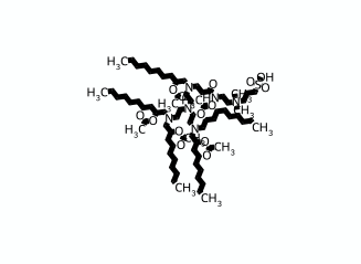 CCCCCCCCC(CN(CCC(=O)NCC[N+](C)(C)CCCS(=O)(=O)O)CCN(CCN(CC(CCCCCCCC)OC(C)=O)CC(CCCCCCCC)OC(C)=O)CCN(CC(CCCCCCCC)OC(C)=O)CC(CCCCCCCC)OC(C)=O)OC(C)=O